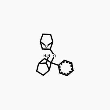 NC1C2CCC1C(OC1CC3CCC1O3)(c1ccccc1)C2